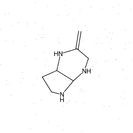 C=C1CNC2NCCC2N1